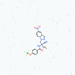 CC(C#N)(CN1N=CC2C=C([N+](=O)[O-])C=CC21)NC(=O)c1ccc(OC(F)(F)F)cc1